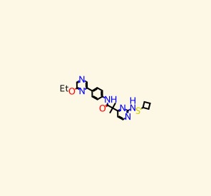 CCOc1cncc(-c2ccc(NC(=O)C(C)(C)c3ccnc(NSC4CCC4)n3)cc2)n1